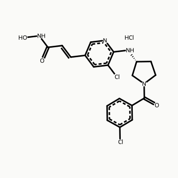 Cl.O=C(C=Cc1cnc(N[C@@H]2CCN(C(=O)c3cccc(Cl)c3)C2)c(Cl)c1)NO